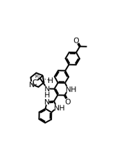 CC(=O)c1ccc(-c2ccc3c(N[C@H]4CN5CCC4CC5)c(-c4nc5ccccc5[nH]4)c(=O)[nH]c3c2)cc1